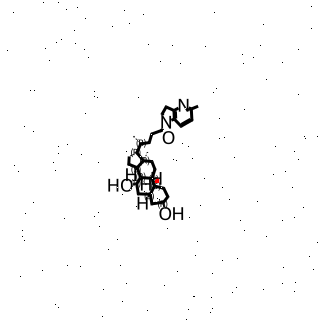 Cc1ccc2c(n1)CCN2C(=O)CC[C@@H](C)[C@H]1CC[C@H]2[C@@H]3[C@H](O)C[C@@H]4C[C@H](O)CC[C@]4(C)[C@H]3CC[C@]12C